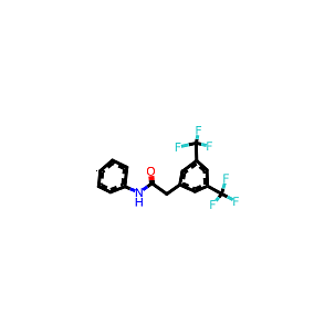 O=C(Cc1cc(C(F)(F)F)cc(C(F)(F)F)c1)Nc1cc[c]cc1